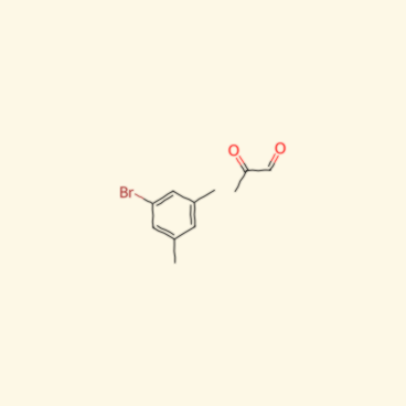 CC(=O)C=O.Cc1cc(C)cc(Br)c1